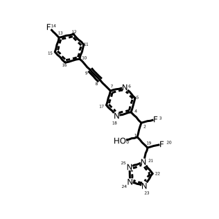 OC(C(F)c1cnc(C#Cc2ccc(F)cc2)cn1)C(F)n1cnnn1